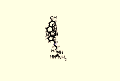 C[C@]12CCC(O)CC1CC[C@@H]1[C@H]2CC[C@]2(C)C(/C=C/CNNC(=N)N)CC[C@@]12O